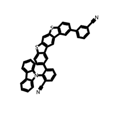 N#Cc1cccc(-c2ccc3sc4cc5sc6ccc(-c7cccc(C#N)c7-n7c8ccccc8c8ccccc87)cc6c5cc4c3c2)c1